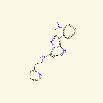 CN(C)c1ccccc1-c1cnn2c(NCCc3ccccn3)ccnc12